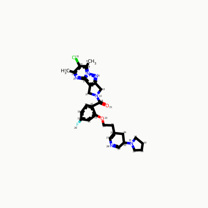 Cc1nc2c3c(nn2c(C)c1Cl)CN(C(=O)c1ccc(F)cc1OCCC1=CN=CC(N2CCCC2)C1)C3